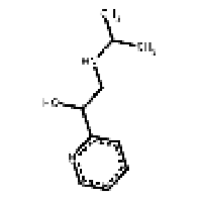 CC(C)NCC(O)c1ccccn1